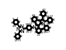 c1ccc(-c2nc(-c3ccccc3)nc(-c3ccc(-n4c5cccc6c7ccccc7n7c(-c8ccccc8)c(-c8ccccc8)c8c9ccccc9c4c(c65)c87)cc3)n2)cc1